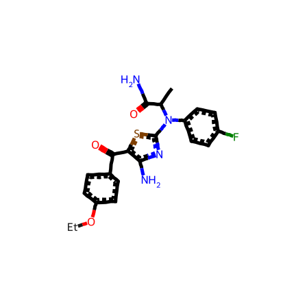 [CH2]COc1ccc(C(=O)c2sc(N(c3ccc(F)cc3)C(C)C(N)=O)nc2N)cc1